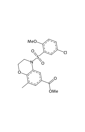 COC(=O)c1cc(C)c2c(c1)N(S(=O)(=O)c1cc(Cl)ccc1OC)CCO2